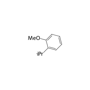 COc1ccccc1[C](C)C